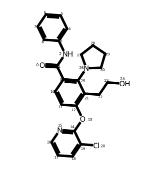 O=C(Nc1ccccc1)c1ccc(Oc2ncccc2Cl)c(CCO)c1N1CCCC1